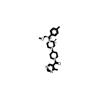 COC[C@@H](c1ccc(C)cc1)N1CCN(C2CCN(C(=O)c3cncnc3C)CC2)C[C@@H]1C